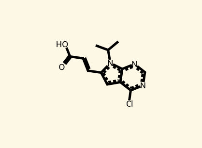 CC(C)n1c(/C=C/C(=O)O)cc2c(Cl)ncnc21